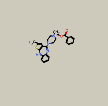 Cc1cc2c(s1)Nc1ccccc1N=C2N1CC[N+](C)(COC(=O)c2ccccc2)CC1